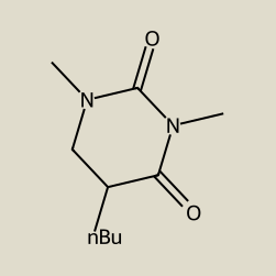 CCCCC1CN(C)C(=O)N(C)C1=O